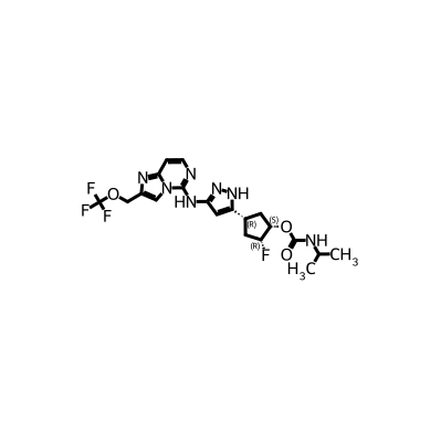 CC(C)NC(=O)O[C@H]1C[C@@H](c2cc(Nc3nccc4nc(COC(F)(F)F)cn34)n[nH]2)C[C@H]1F